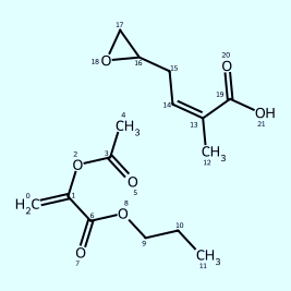 C=C(OC(C)=O)C(=O)OCCC.CC(=CCC1CO1)C(=O)O